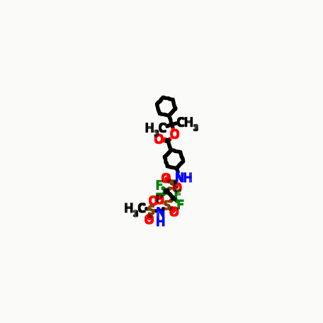 CC(C)(OC(=O)C1CCC(NS(=O)(=O)C(F)(F)C(F)(F)S(=O)(=O)NS(C)(=O)=O)CC1)C1CCCCC1